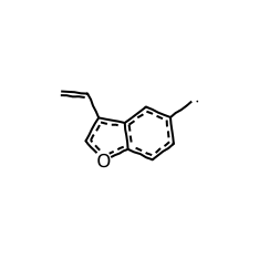 [CH2]c1ccc2occ(C=C)c2c1